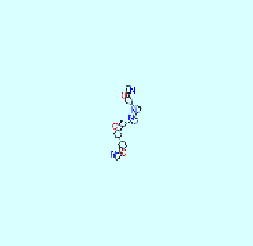 c1cc(-c2ccc3oc4ccc(-c5ccc6oc7cccnc7c6c5)cc4c3c2)nc(-c2cccc(-c3ccc4oc5cccnc5c4c3)n2)c1